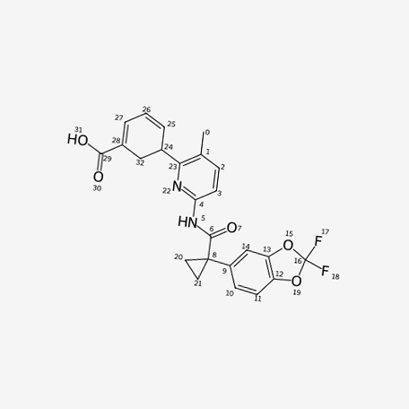 Cc1ccc(NC(=O)C2(c3ccc4c(c3)OC(F)(F)O4)CC2)nc1C1C=CC=C(C(=O)O)C1